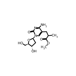 COC(=O)C(C)Cc1cn([C@H]2C[C@H](O)[C@@H](CO)O2)c(=O)nc1N